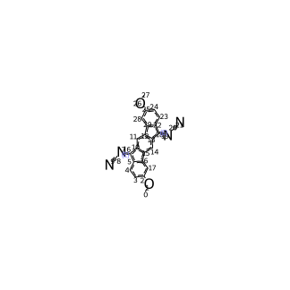 COc1ccc2/c(=N\C#N)c3cc4c(cc3c2c1)/c(=N/C#N)c1ccc(OC)cc14